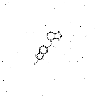 C[C@H](c1ccc2nc(Br)sc2c1)n1cccc2ncnc1-2